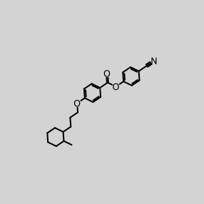 CC1CCCCC1CCCOc1ccc(C(=O)Oc2ccc(C#N)cc2)cc1